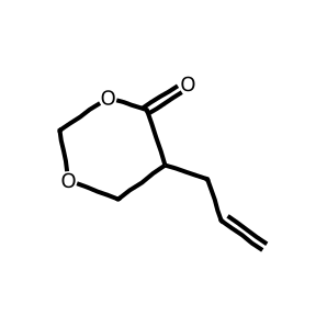 C=CCC1COCOC1=O